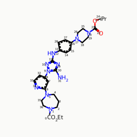 CCOC(=O)N1CCCN(c2cc(-n3nc(Nc4ccc(N5CCN(C(=O)OC(C)C)CC5)cc4)nc3N)ccn2)CC1